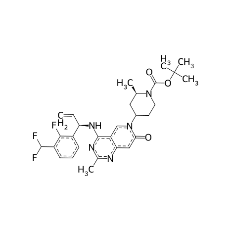 C=C[C@@H](Nc1nc(C)nc2cc(=O)n(C3CCN(C(=O)OC(C)(C)C)[C@H](C)C3)cc12)c1cccc(C(F)F)c1F